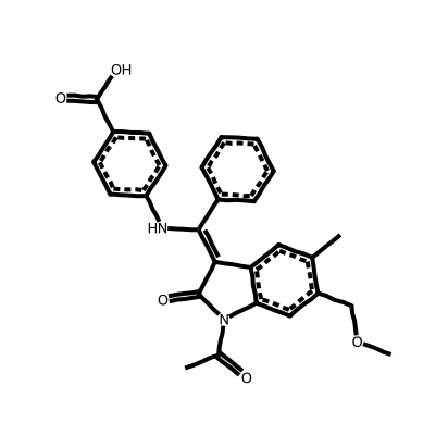 COCc1cc2c(cc1C)/C(=C(/Nc1ccc(C(=O)O)cc1)c1ccccc1)C(=O)N2C(C)=O